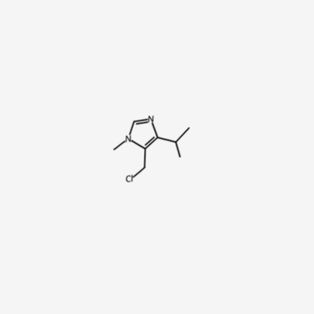 CC(C)c1ncn(C)c1CCl